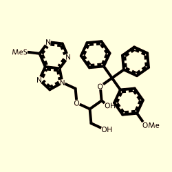 COc1ccc(C(OC(O)C(CO)OCn2cnc3c(SC)ncnc32)(c2ccccc2)c2ccccc2)cc1